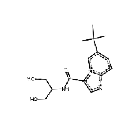 CC(C)(C)c1ccc2ncc(C(=O)NC(CO)CO)n2c1